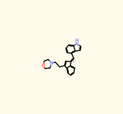 C1=C(CCN2CCOCC2)c2ccccc2/C1=C/c1cccc2[nH]ccc12